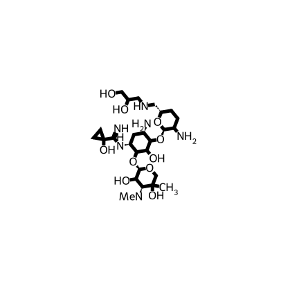 CN[C@@H]1C(O)[C@@H](OC2C(O)C(O[C@H]3O[C@H](CNCC(O)CO)CCC3N)[C@@H](N)C[C@H]2NC(=N)C2(O)CC2)OCC1(C)O